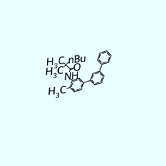 CCCCC(C)(C)C(=O)Nc1cc(-c2cccc(-c3ccccc3)c2)ccc1C